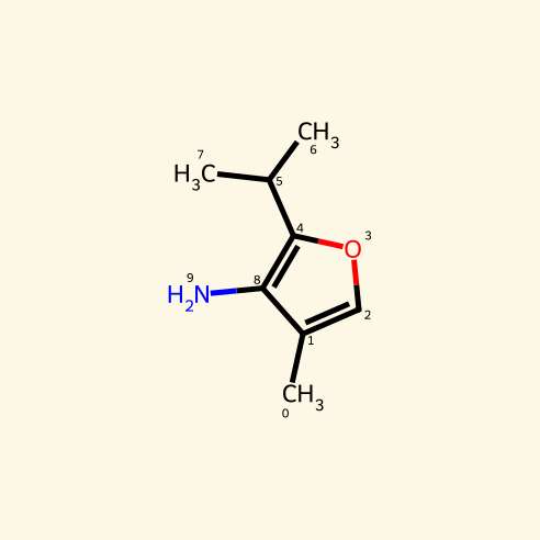 Cc1coc(C(C)C)c1N